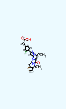 CCc1cc(C(=O)N2CCc3sccc3C2C)nc2cc(-c3ccc(C4C[C@H]4C(=O)O)cc3F)nn12